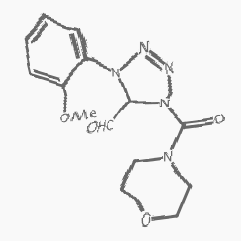 COc1ccccc1N1N=NN(C(=O)N2CCOCC2)C1C=O